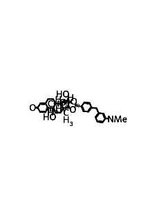 CNc1cccc(Cc2ccc([C@@H]3O[C@@H]4C[C@H]5[C@@H]6CCC7=CC(=O)C=C[C@]7(C)[C@H]6[C@@H](O)C[C@]5(C)[C@]4(C(=O)CO)O3)cc2)c1